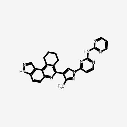 FC(F)(F)c1nn(-c2ccnc(Nc3ncccn3)n2)cc1-c1nc2ccc3[nH]ncc3c2c2c1CCCC2